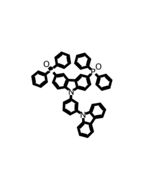 O=P(c1ccccc1)(c1ccccc1)c1ccc2c(c1)c1cc(P(=O)(c3ccccc3)c3ccccc3)ccc1n2-c1cccc(-n2c3ccccc3c3ccccc32)c1